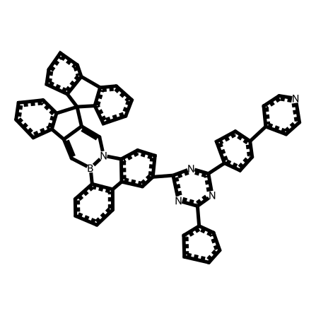 C1=C2C(=CN3B1c1ccccc1-c1cc(-c4nc(-c5ccccc5)nc(-c5ccc(-c6ccncc6)cc5)n4)ccc13)C1(c3ccccc32)c2ccccc2-c2ccccc21